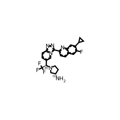 N[C@H]1CCN([C@H](c2ccc3nnc(-c4ccc5cc(F)c(C6CC6)cc5n4)n3c2)C(F)(F)F)C1